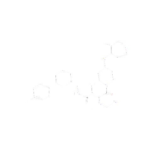 C=C(NC[C@H]1CCC[C@@H](C2C=CC(C(F)(F)F)=CC2)O1)/C(C)=C(\N=C/N)C(=O)N1CCC(NC2CCOCC2F)CC1